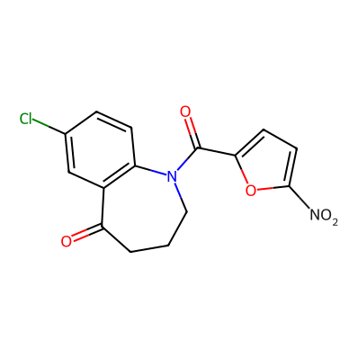 O=C1CCCN(C(=O)c2ccc([N+](=O)[O-])o2)c2ccc(Cl)cc21